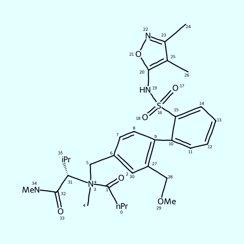 CCCC(=O)[N+](C)(Cc1ccc(-c2ccccc2S(=O)(=O)Nc2onc(C)c2C)c(COC)c1)[C@H](C(=O)NC)C(C)C